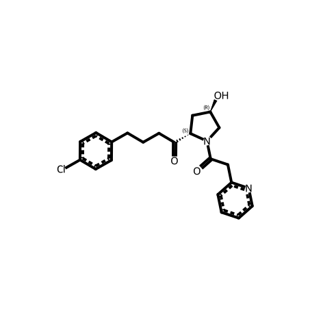 O=C(CCCc1ccc(Cl)cc1)[C@@H]1C[C@@H](O)CN1C(=O)Cc1ccccn1